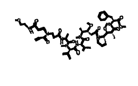 C#CC(=O)N(CCC(=O)NCCOC)CCC(=O)NC(C)C(=O)N(C)[C@@H](C(=O)N[C@H](C(=O)N(C)[C@@H](C)[C@@H](CC(=O)N1CCC[C@H]1[C@H](OC)[C@@H](C)C(=O)N[C@@H](Cc1ccccc1)C(=O)OC)OC)C(C)C)C(C)C